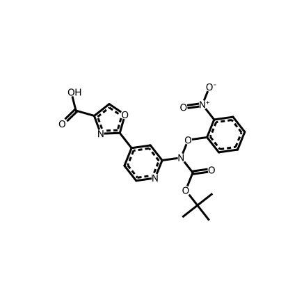 CC(C)(C)OC(=O)N(Oc1ccccc1[N+](=O)[O-])c1cc(-c2nc(C(=O)O)co2)ccn1